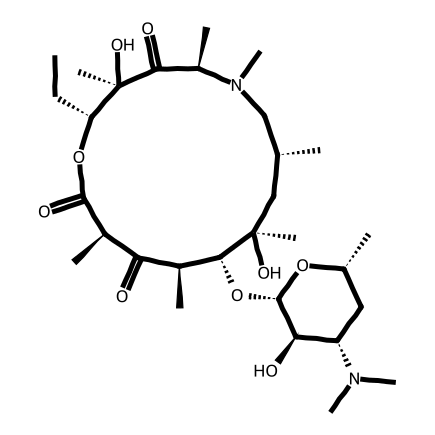 CC[C@H]1OC(=O)[C@H](C)C(=O)[C@H](C)[C@@H](O[C@@H]2O[C@H](C)C[C@H](N(C)C)[C@H]2O)[C@](C)(O)C[C@@H](C)CN(C)[C@H](C)C(=O)[C@]1(C)O